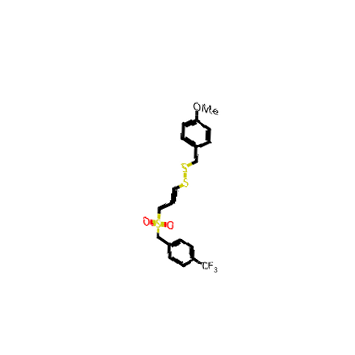 COc1ccc(CSS/C=C/CS(=O)(=O)Cc2ccc(C(F)(F)F)cc2)cc1